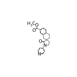 COC(=O)c1ccc2c(c1)CC1(CC2)CCN(c2ccncc2)C1=O